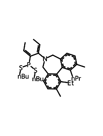 C/C=C(\C(=C/C)P(SCCCC)SCCCC)N1Cc2ccc(C)c(CC)c2-c2c(ccc(C)c2CCC)C1